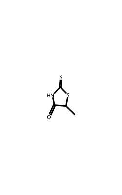 CC1SC(=S)NC1=O